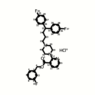 Cl.O=C(OCc1cccc(F)c1)c1cccnc1N1CCN(CCCC(c2ccc(F)cc2)c2ccc(F)cc2)CC1